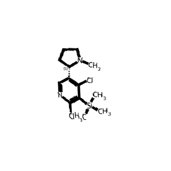 CN1CCC[C@H]1c1cnc(Cl)c([Si](C)(C)C)c1Cl